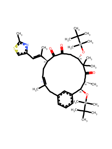 CC(=Cc1csc(C)n1)[C@@H]1C/C=C(/C)Cc2cccc(c2)[C@H](O[Si](C)(C)C(C)(C)C)[C@@H](C)C(=O)C(C)(C)[C@@H](O[Si](C)(C)C(C)(C)C)CC(=O)C1=O